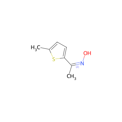 C/C(=N/O)c1ccc(C)s1